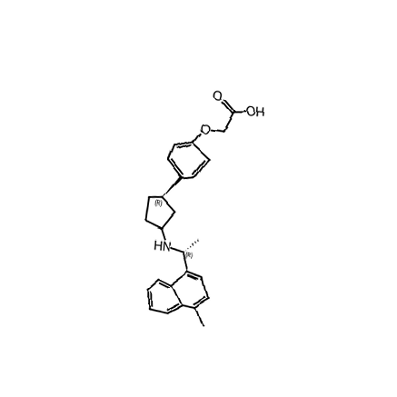 Cc1ccc([C@@H](C)NC2CC[C@@H](c3ccc(OCC(=O)O)cc3)C2)c2ccccc12